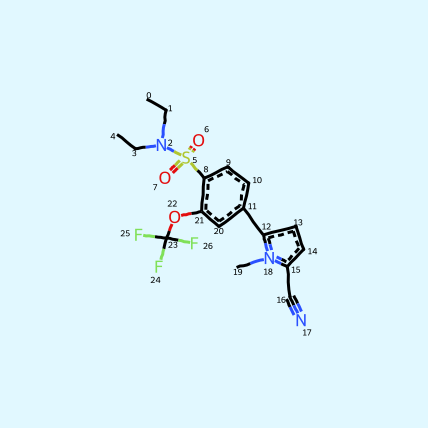 CCN(CC)S(=O)(=O)c1ccc(-c2ccc(C#N)n2C)cc1OC(F)(F)F